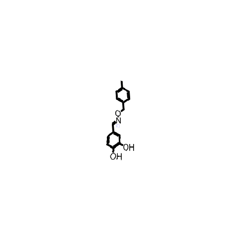 Cc1ccc(CO/N=C/c2ccc(O)c(O)c2)cc1